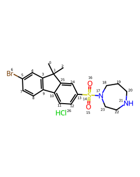 CC1(C)c2cc(Br)ccc2-c2ccc(S(=O)(=O)N3CCCNCC3)cc21.Cl